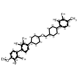 CCOc1ccc(-c2ccc(C3CCC(OCC4CCC(c5ccc(C)c(F)c5F)CC4)CC3)c(F)c2F)c(F)c1F